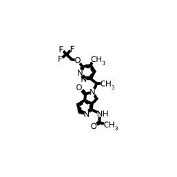 CC(=O)Nc1nccc2c1CN(C(C)c1cc(C)c(OCC(F)(F)F)nn1)C2=O